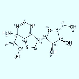 C=C(OCC)C1(N)N=CN=C2C1=CCN2[C@@H]1O[C@H](CO)[C@@H](O)[C@H]1O